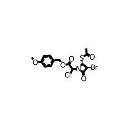 COc1ccc(COC(=O)C(Cl)N2C(=O)[C@H](Br)[C@H]2SC(C)=O)cc1